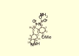 COc1ccc2c(c1-c1ccc3cn[nH]c3c1)C1(CC1)C(=O)N2C(=O)ON